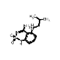 CC(C)CNc1cccc2c1C(N)=NS(=O)(=O)N2